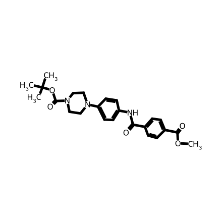 COC(=O)c1ccc(C(=O)Nc2ccc(N3CCN(C(=O)OC(C)(C)C)CC3)cc2)cc1